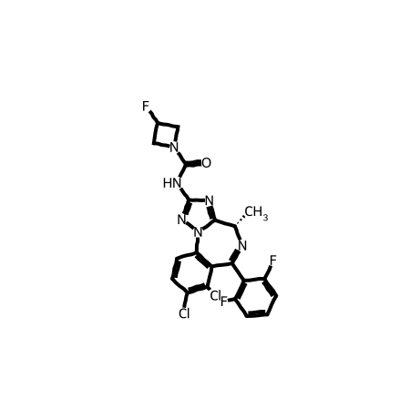 C[C@@H]1N=C(c2c(F)cccc2F)c2c(ccc(Cl)c2Cl)-n2nc(NC(=O)N3CC(F)C3)nc21